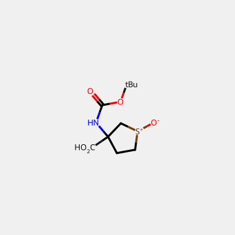 CC(C)(C)OC(=O)NC1(C(=O)O)CC[S+]([O-])C1